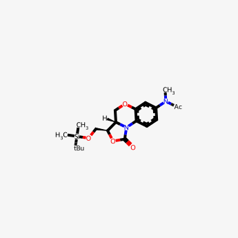 CC(=O)N(C)c1ccc2c(c1)OC[C@H]1[C@H](CO[Si](C)(C)C(C)(C)C)OC(=O)N21